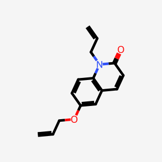 C=CCOc1ccc2c(ccc(=O)n2CC=C)c1